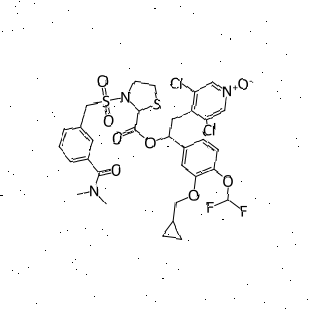 CN(C)C(=O)c1cccc(CS(=O)(=O)N2CCSC2C(=O)OC(Cc2c(Cl)c[n+]([O-])cc2Cl)c2ccc(OC(F)F)c(OCC3CC3)c2)c1